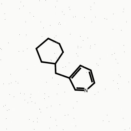 c1cncc(CC2CCCCC2)c1